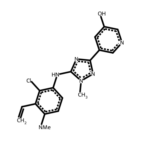 C=Cc1c(NC)ccc(Nc2nc(-c3cncc(O)c3)nn2C)c1Cl